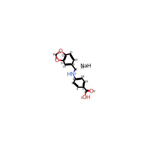 O=C(O)c1ccc(NCc2ccc3c(c2)OCO3)cc1.[NaH]